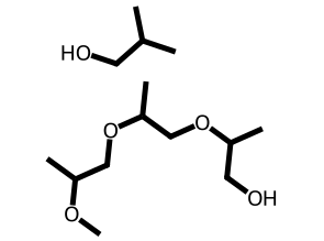 CC(C)CO.COC(C)COC(C)COC(C)CO